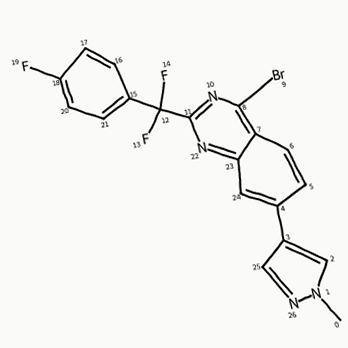 Cn1cc(-c2ccc3c(Br)nc(C(F)(F)c4ccc(F)cc4)nc3c2)cn1